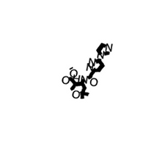 COC(=O)C1=C(NC(=O)c2ccc(-n3ccnc3)nn2)CC(C)(C)OC1